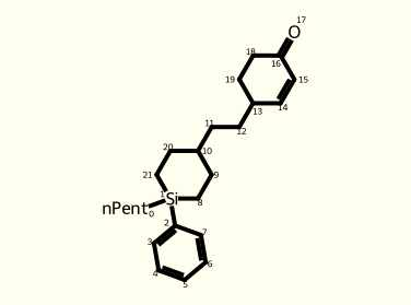 CCCCC[Si]1(c2ccccc2)CCC(CCC2C=CC(=O)CC2)CC1